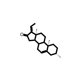 C/C=C1/C(=O)CC2C3CC=C4C[C@@H](C)CC[C@]4(C)C3CC[C@]12C